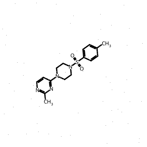 Cc1ccc(S(=O)(=O)N2CCN(c3ccnc(C)n3)CC2)cc1